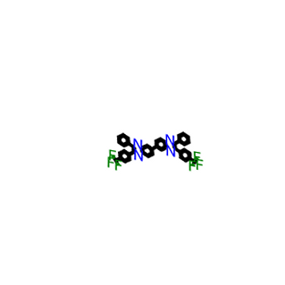 FC(F)(F)c1ccc(-c2nc3ccc(-c4ccc5nc(-c6ccccc6)c(-c6ccc(C(F)(F)F)cc6)nc5c4)cc3nc2-c2ccccc2)cc1